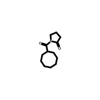 O=C1CCCN1C(=O)C1CCCCCCC1